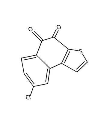 O=C1C(=O)c2sccc2-c2cc(Cl)ccc21